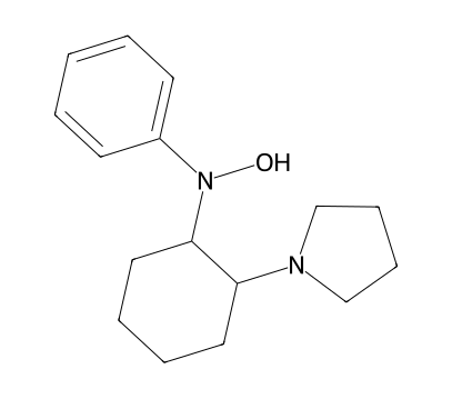 ON(c1ccccc1)C1CCCCC1N1CCCC1